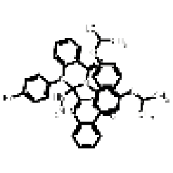 CC(C)Oc1cccc(N2C(=O)c3ccccc3N(c3ccc(Br)cc3)C2(NN)c2nc3ccccc3c(=O)n2-c2cccc(OC(C)C)c2)c1